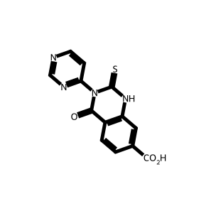 O=C(O)c1ccc2c(=O)n(-c3ccncn3)c(=S)[nH]c2c1